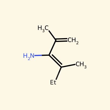 C=C(C)/C(N)=C(\C)CC